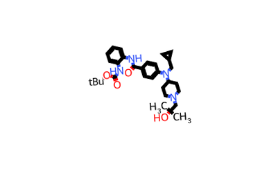 CC(C)(O)CN1CCC(N(CC2CC2)c2ccc(C(=O)Nc3ccccc3NC(=O)OC(C)(C)C)cc2)CC1